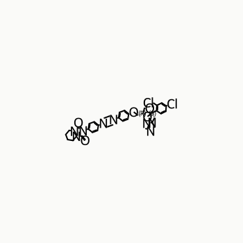 O=c1n(-c2ccc(N3CCN(c4ccc(OC[C@@H]5CO[C@@](Cn6cncn6)(c6ccc(Cl)cc6Cl)O5)cc4)CC3)cc2)c(=O)n2n1CCCC2